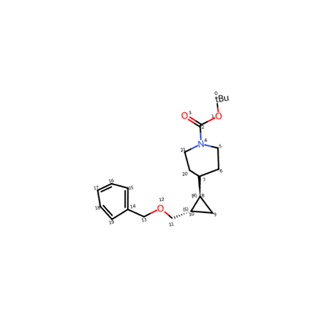 CC(C)(C)OC(=O)N1CCC([C@H]2C[C@@H]2COCc2ccccc2)CC1